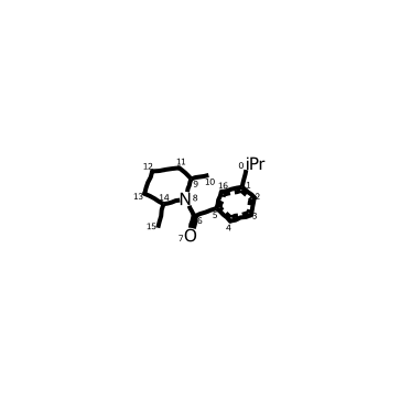 CC(C)c1cccc(C(=O)N2C(C)CCCC2C)c1